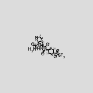 CC1(Cc2ccncc2NC(N)=O)NC(=O)N(c2ccc(S(=O)(=O)C(F)(F)F)cc2)C1=O